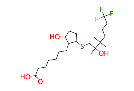 CC(C)(CCCC(F)(F)F)C(C)(O)CSC1CCC(O)C1CCCCCCC(=O)O